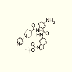 CC(C)(C)OC(=O)n1ccc2ccc(NC(=O)c3cc(N)ccc3NC(=O)C3CCN(c4ccncc4)CC3)cc21